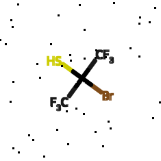 FC(F)(F)C(S)(Br)C(F)(F)F